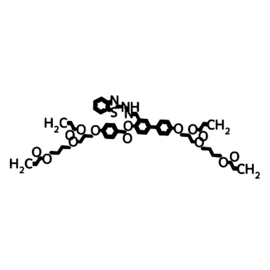 C=CC(=O)OCCCCOCC(COc1ccc(C(=O)Oc2ccc(-c3ccc(OCC(COCCCCOC(=O)C=C)OC(=O)C=C)cc3)cc2/C=N/Nc2nc3ccccc3s2)cc1)OC(=O)C=C